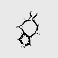 C[Si]1(C)COc2cscc2OC1